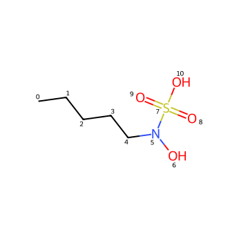 CCCCCN(O)S(=O)(=O)O